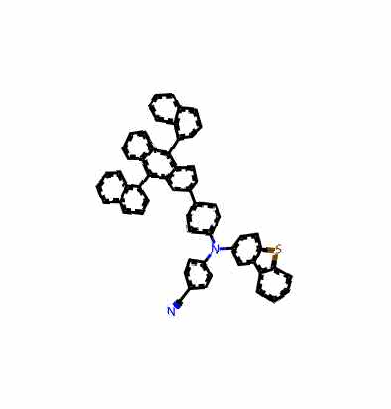 N#Cc1ccc(N(c2ccc(-c3ccc4c(-c5cccc6ccccc56)c5ccccc5c(-c5cccc6ccccc56)c4c3)cc2)c2ccc3sc4ccccc4c3c2)cc1